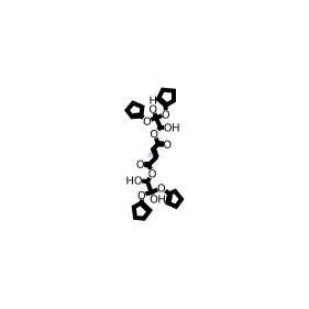 O=C(/C=C/C(=O)OC(O)C(O)(OC1=CCCC1)OC1=CCCC1)OC(O)C(O)(OC1=CCCC1)OC1=CCCC1